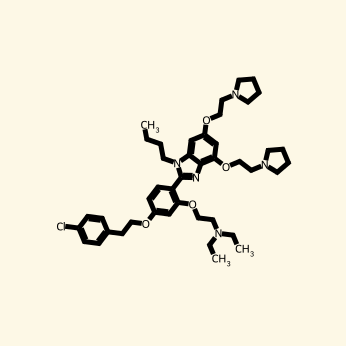 CCCCn1c(-c2ccc(OCCc3ccc(Cl)cc3)cc2OCCN(CC)CC)nc2c(OCCN3CCCC3)cc(OCCN3CCCC3)cc21